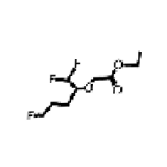 CCOC(=O)COC(CCCF)C(F)F